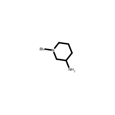 CCC(C)N1CC[CH]C(N)C1